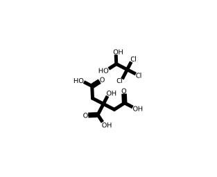 O=C(O)CC(O)(CC(=O)O)C(=O)O.OC(O)C(Cl)(Cl)Cl